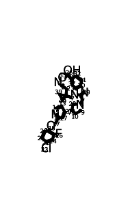 N#CCC1(Cn2c(CN3CC[C@H](c4ccnc(COc5ccc(Cl)cc5F)c4)C3)nc3ccc(C(=O)O)cc32)CC1